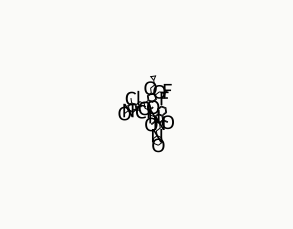 O=C(Cn1c(=O)n(CCN2CCOCC2)c(=O)c2ccccc21)OC(Cc1c(Cl)c[n+]([O-])cc1Cl)c1ccc(OC(F)F)c(OCC2CC2)c1